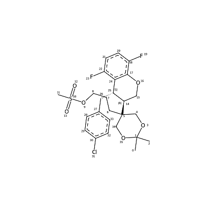 CC1(C)OCC(CCCOS(C)(=O)=O)([C@@H]2COc3c(F)ccc(F)c3[C@H]2Cc2ccc(Cl)cc2)CO1